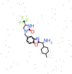 CC1CCC([C@H](N)c2nc3cc(CN4C[C@@H](C(F)(F)F)NC4=O)ccc3o2)CC1